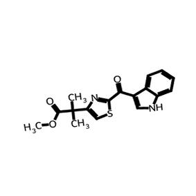 COC(=O)C(C)(C)c1csc(C(=O)c2c[nH]c3ccccc23)n1